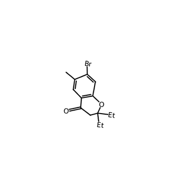 CCC1(CC)CC(=O)c2cc(C)c(Br)cc2O1